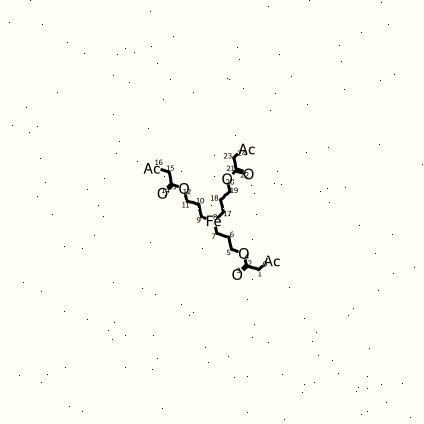 CC(=O)CC(=O)OCC[CH2][Fe]([CH2]CCOC(=O)CC(C)=O)[CH2]CCOC(=O)CC(C)=O